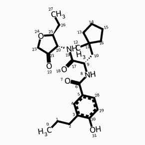 CCCc1cc(C(=O)N[C@@H](CC2(C)CCCC2)C(=O)N[C@@H]2C(=O)CO[C@H]2CC)ccc1O